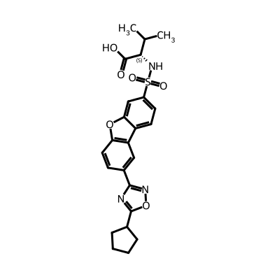 CC(C)[C@H](NS(=O)(=O)c1ccc2c(c1)oc1ccc(-c3noc(C4CCCC4)n3)cc12)C(=O)O